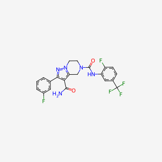 NC(=O)c1c(-c2cccc(F)c2)nn2c1CN(C(=O)Nc1cc(C(F)(F)F)ccc1F)CC2